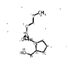 CSCOn1on1N1CCCC1CO